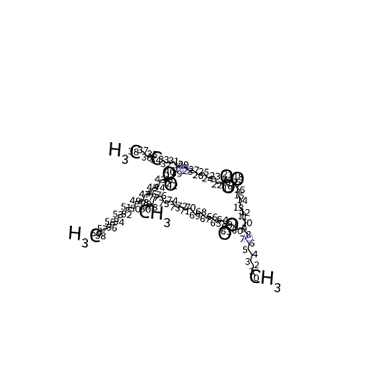 CCCCCCC/C=C/C(CCCCCCCC(=O)OC(=O)CCCCCC/C=C/C(CCCCCCCC)COC(=O)CCCCCCCCCCCCCCCCC)COC(=O)CCCCCCCCCCCCCCCCC